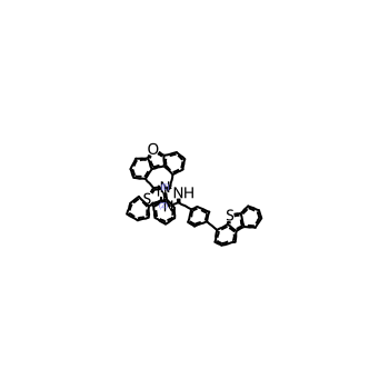 N=C(/N=C(\N=C\c1cccc2oc3cccc(-c4nc5ccccc5s4)c3c12)c1ccccc1)c1ccc(-c2cccc3c2sc2ccccc23)cc1